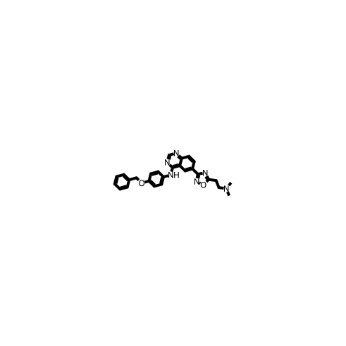 CN(C)CCc1nc(-c2ccc3ncnc(Nc4ccc(OCc5ccccc5)cc4)c3c2)no1